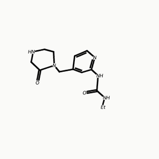 CCNC(=O)Nc1cc(CN2CCNCC2=O)ccn1